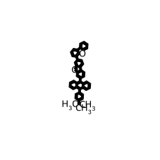 CC(C)(C)c1ccc(-c2c3ccccc3c(-c3ccc4c(c3)oc3cc(-c5cccc6c5oc5ccccc56)ccc34)c3ccccc23)cc1